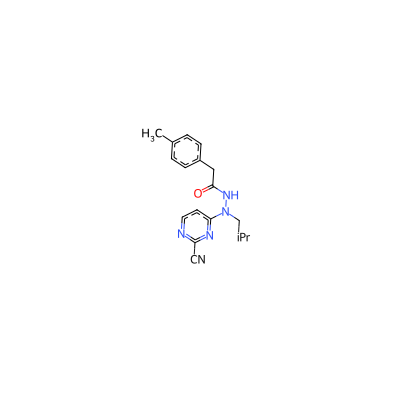 Cc1ccc(CC(=O)NN(CC(C)C)c2ccnc(C#N)n2)cc1